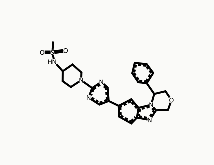 CS(=O)(=O)NC1CCN(c2ncc(-c3ccc4nc5n(c4c3)C(c3ccccc3)COC5)cn2)CC1